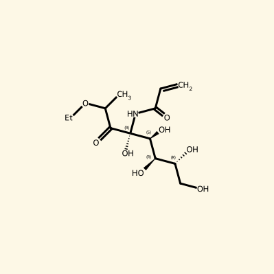 C=CC(=O)N[C@](O)(C(=O)C(C)OCC)[C@@H](O)[C@H](O)[C@H](O)CO